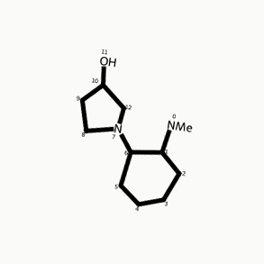 CNC1CCCCC1N1CCC(O)C1